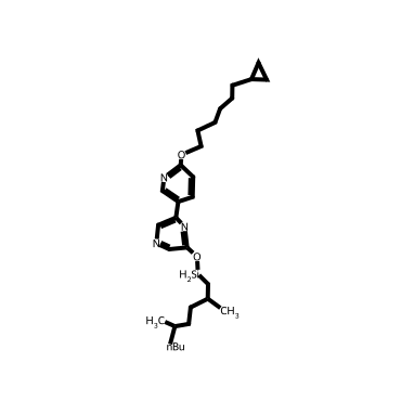 CCCCC(C)CCC(C)C[SiH2]Oc1cncc(-c2ccc(OCCCCCCC3CC3)nc2)n1